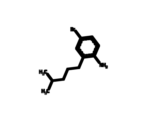 CC(C)CCCc1cc(Br)ccc1N